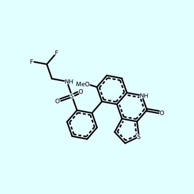 COc1ccc2[nH]c(=O)c3sccc3c2c1-c1ccccc1S(=O)(=O)NCC(F)F